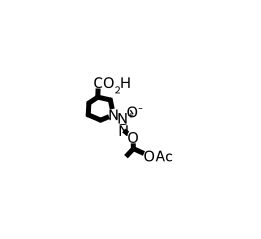 CC(=O)OC(C)O/N=[N+](\[O-])N1CCCC(C(=O)O)C1